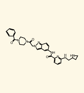 O=C(Nc1ccc2nn(CC(=O)N3CCN(C(=O)c4ccccc4)CC3)cc2c1)c1cccc(NCC2CCN2)n1